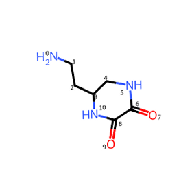 NCCC1CNC(=O)C(=O)N1